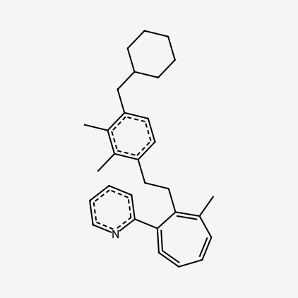 CC1=C(CCc2ccc(CC3CCCCC3)c(C)c2C)C(c2ccccn2)=C=CC=C1